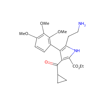 CCOC(=O)c1[nH]c(CCN)c(-c2ccc(OC)c(OC)c2OC)c1C(=O)C1CC1